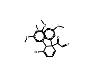 COc1cc(OC)cc(C2C(O)=CC=CC2(C(=O)C=O)c2cc(OC)cc(OC)c2)c1